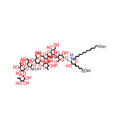 CCCCCCCCCCCCC/C=C/[C@@H](O)[C@H](CO[C@@H]1OC(CO)[C@@H](O[C@@H]2OC(CO)[C@H](O)[C@H](O[C@@H]3OC(CO)[C@@H](O[C@@H]4OC(CO)[C@H](O)[C@H](O[C@H]5OC(CO)[C@H](O)[C@H](O[C@@H]6OC(CO)[C@H](O)[C@H](O)C6O[C@H]6OC(C)[C@@H](O)C(O)[C@@H]6O)C5NC(C)=O)C4O[C@H]4OC(C)[C@@H](O)C(O)[C@@H]4O)[C@H](O)C3NC(C)=O)C2O)[C@H](O)C1O)NC(=O)CCCCCCCCCCCCCCCCCCCCC